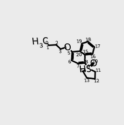 CCCCOc1ccc([SH]2(=O)CCCC2)c2ccccc12